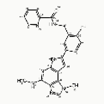 CNc1nc2[nH]c(-c3ccc(F)c(CNC(=O)c4ccccn4)c3)cc2c2c1ncn2C